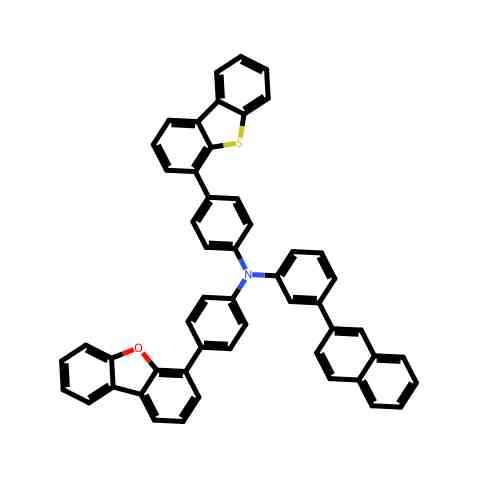 c1cc(-c2ccc3ccccc3c2)cc(N(c2ccc(-c3cccc4c3oc3ccccc34)cc2)c2ccc(-c3cccc4c3sc3ccccc34)cc2)c1